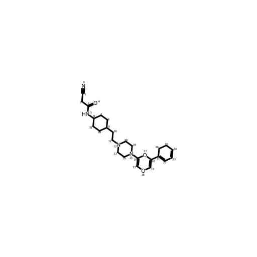 N#CCC(=O)NC1CCC(CCN2CCN(C3=COC=C(C4=CC=CCC4)O3)CC2)CC1